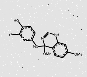 COc1ccc2c(c1)NC=NC2(Nc1ccc(O)c(Cl)c1)OC